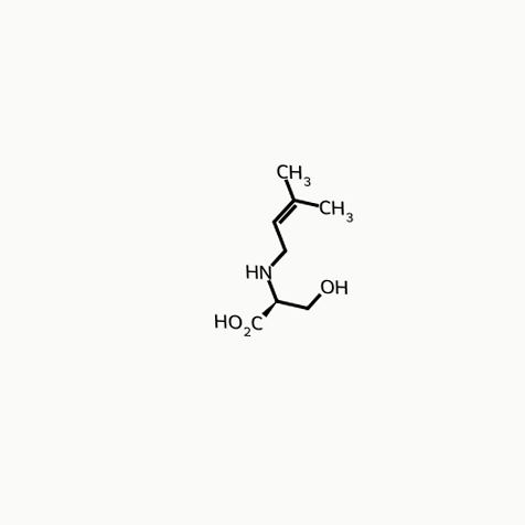 CC(C)=CCN[C@@H](CO)C(=O)O